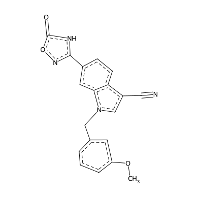 COc1cccc(Cn2cc(C#N)c3ccc(-c4noc(=O)[nH]4)cc32)c1